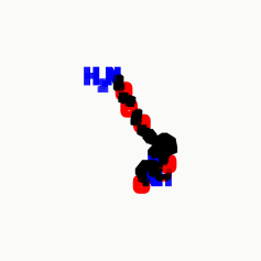 NCCOCCOCCOCC#Cc1cccc2c1CN(C1CCC(=O)NC1=O)C2=O